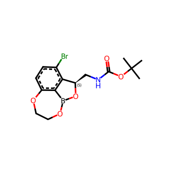 CC(C)(C)OC(=O)NC[C@H]1OB2OCCOc3ccc(Br)c1c32